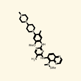 COc1cc(N2CCC(N3CCN(C)CC3)CC2)c(C)cc1Nc1ncc(N)c(Nc2ccc3nccnc3c2N(C)SC)n1